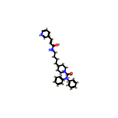 O=C(C=Cc1cccnc1)NCCCCC1CCN(C(=O)N(c2ccccc2)c2ccccc2)CC1